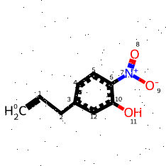 C=CCc1ccc([N+](=O)[O-])c(O)c1